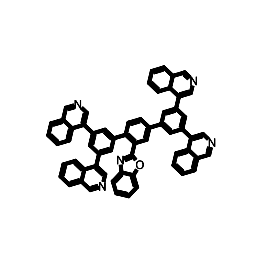 C1=CC2C=NC=C(c3cc(-c4ccc(-c5cc(-c6cncc7ccccc67)cc(-c6cncc7ccccc67)c5)c(-c5nc6ccccc6o5)c4)cc(-c4cncc5ccccc45)c3)C2C=C1